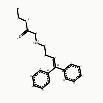 CCOC(=O)CNCCC=C(c1ccccc1)c1ccccc1